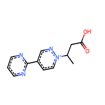 CC(CC(=O)O)[n+]1ccc(-c2ncccn2)cn1